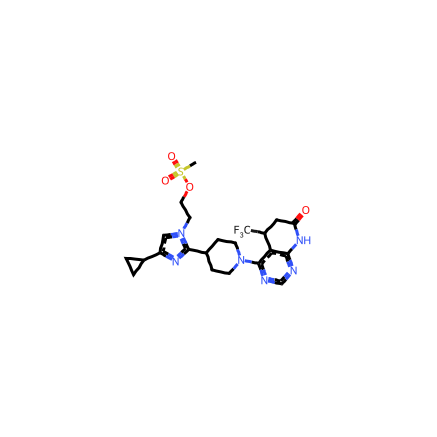 CS(=O)(=O)OCCn1cc(C2CC2)nc1C1CCN(c2ncnc3c2C(C(F)(F)F)CC(=O)N3)CC1